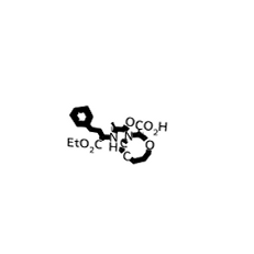 CCOC(=O)C(CCc1ccccc1)N[C@@H](C)C(=O)N1CCCCCCOC[C@H]1C(=O)O